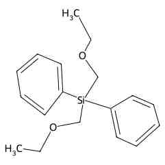 CCOC[Si](COCC)(c1ccccc1)c1ccccc1